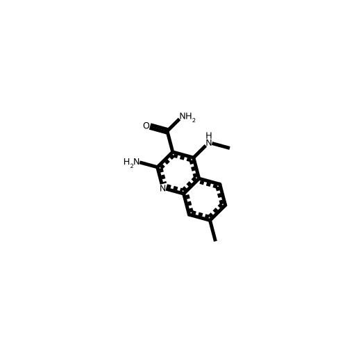 CNc1c(C(N)=O)c(N)nc2cc(C)ccc12